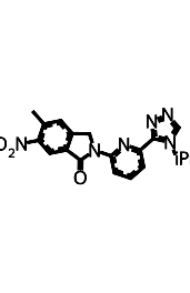 Cc1cc2c(cc1[N+](=O)[O-])C(=O)N(c1cccc(-c3nncn3C(C)C)n1)C2